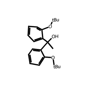 CC(C)(C)Oc1ccccc1C(C)(O)c1ccccc1OC(C)(C)C